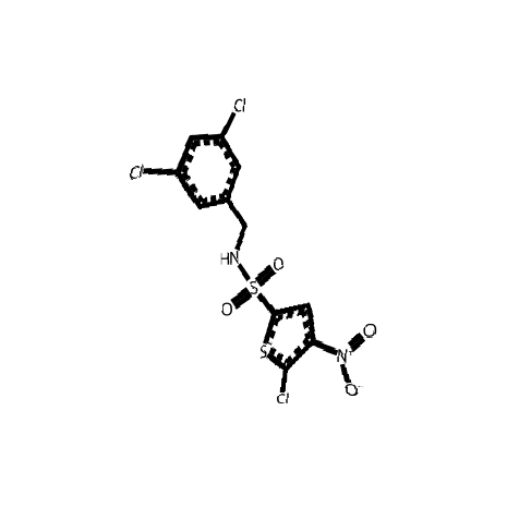 O=[N+]([O-])c1cc(S(=O)(=O)NCc2cc(Cl)cc(Cl)c2)sc1Cl